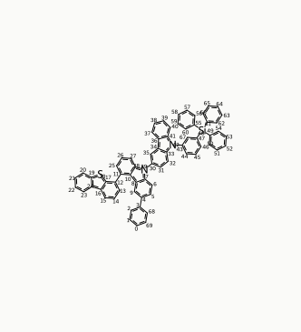 c1ccc(-c2ccc3c(c2)c2c(-c4cccc5c4sc4ccccc45)cccc2n3-c2ccc3c(c2)c2ccccc2n3-c2cccc([Si](c3ccccc3)(c3ccccc3)c3ccccc3)c2)cc1